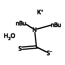 CCCCN(CCCC)C(=S)[S-].O.[K+]